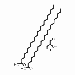 CCCCCCCCCCCCCCCCCCCCCC(=O)O.CCCCCCCCCCCCCCCCCCCCCC(=O)O.OCC(O)CO